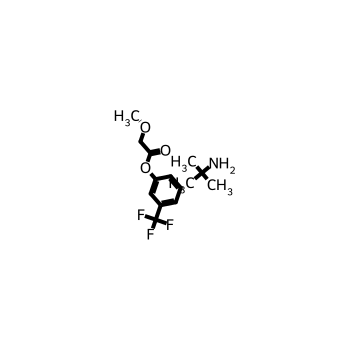 CC(C)(C)N.COCC(=O)Oc1cccc(C(F)(F)F)c1